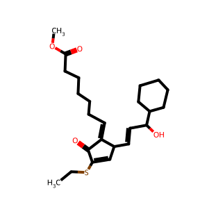 CCSC1=CC(C=CC(O)C2CCCCC2)C(=CCCCCCC(=O)OC)C1=O